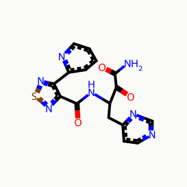 NC(=O)C(=O)C(Cc1ccncn1)NC(=O)c1nsnc1-c1ccccn1